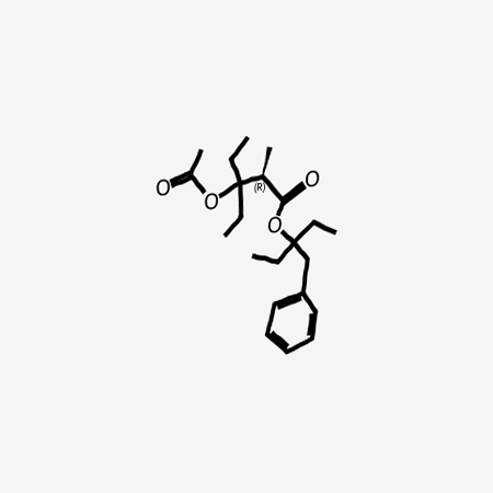 CCC(CC)(Cc1ccccc1)OC(=O)[C@H](C)C(CC)(CC)OC(C)=O